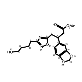 COC(=O)CC(Cc1nc(CCCCO)no1)c1ccc2c(c1)OCO2